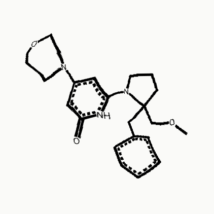 COCC1(Cc2ccccc2)CCCN1c1cc(N2CCOCC2)cc(=O)[nH]1